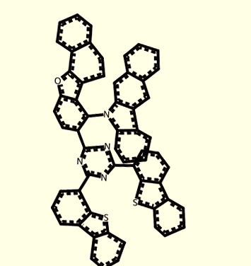 c1ccc2cc3c(cc2c1)c1ccccc1n3-c1c(-c2nc(-c3cccc4c3sc3ccccc34)nc(-c3cccc4c3sc3ccccc34)n2)ccc2oc3c4ccccc4ccc3c12